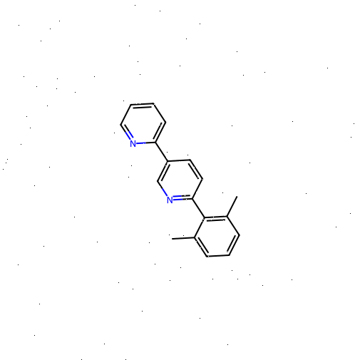 Cc1cccc(C)c1-c1ccc(-c2ccccn2)cn1